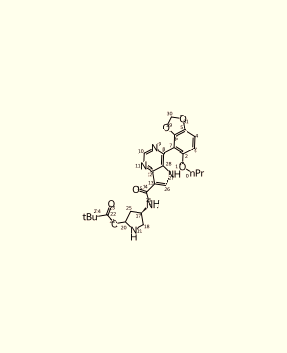 CCCOc1ccc2c(c1-c1ncnc3c(C(=O)N[C@H]4CNC(OC(=O)C(C)(C)C)C4)c[nH]c13)OCO2